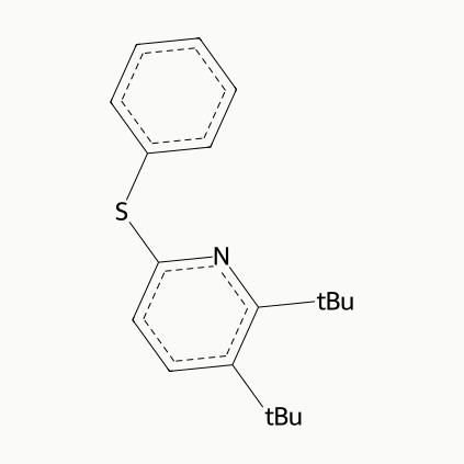 CC(C)(C)c1ccc(Sc2ccccc2)nc1C(C)(C)C